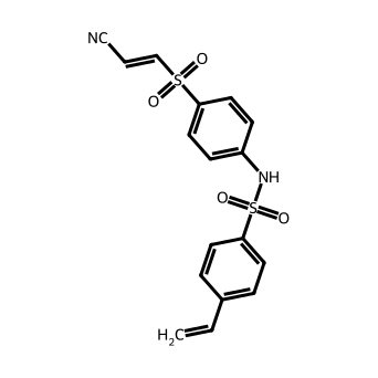 C=Cc1ccc(S(=O)(=O)Nc2ccc(S(=O)(=O)C=CC#N)cc2)cc1